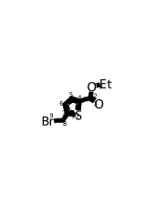 CCOC(=O)c1ccc(CBr)s1